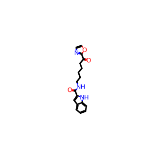 O=C(NCCCCCC(=O)c1ncco1)c1cc2ccccc2[nH]1